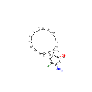 CC1(c2cc(F)c(N)cc2O)CCCCCCCCCCCCCCC1